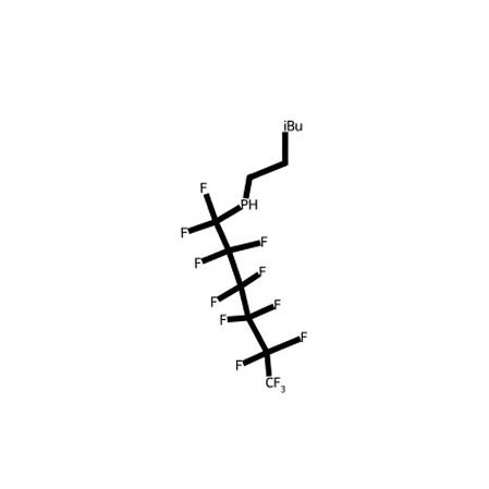 CCC(C)CCPC(F)(F)C(F)(F)C(F)(F)C(F)(F)C(F)(F)C(F)(F)F